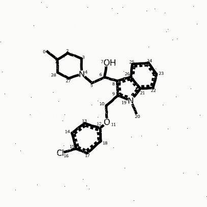 CC1CCN(CC(O)c2c(COc3ccc(Cl)cc3)n(C)c3ccccc23)CC1